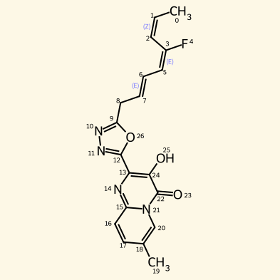 C\C=C/C(F)=C\C=C\Cc1nnc(-c2nc3ccc(C)cn3c(=O)c2O)o1